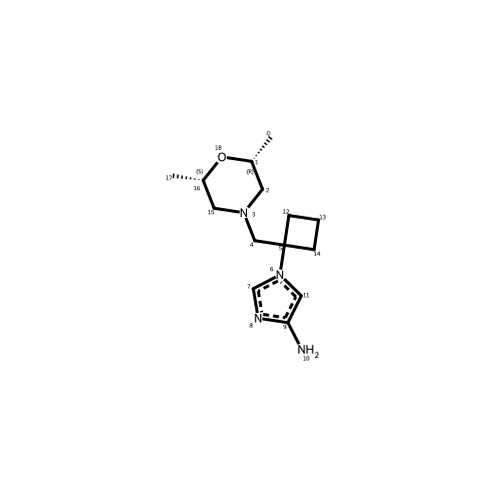 C[C@@H]1CN(CC2(n3cnc(N)c3)CCC2)C[C@H](C)O1